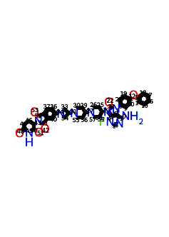 Nc1ncnc2c1n(-c1ccc(Oc3ccccc3)cc1)c(=O)n2[C@@H]1CCN(C2CCN(C3CN(c4ccc5c(c4)C(=O)N(C4CCC(=O)NC4=O)C5=O)C3)CC2)C[C@H]1F